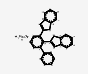 C1=C(c2cccc(-c3ccccc3)c2C2=Cc3ccccc3C2)Cc2ccccc21.[PbH2].[Zr]